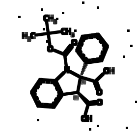 CC(C)(C)OC(=O)N1c2ccccc2[C@H](C(=O)O)[C@@]1(C(=O)O)c1ccccc1